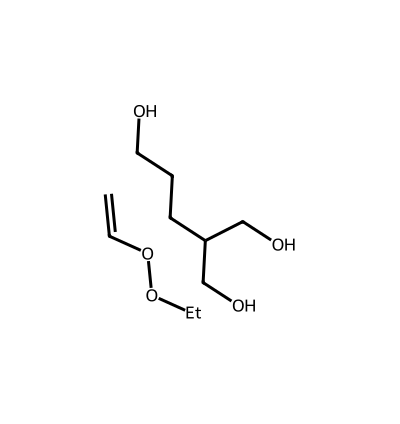 C=COOCC.OCCCC(CO)CO